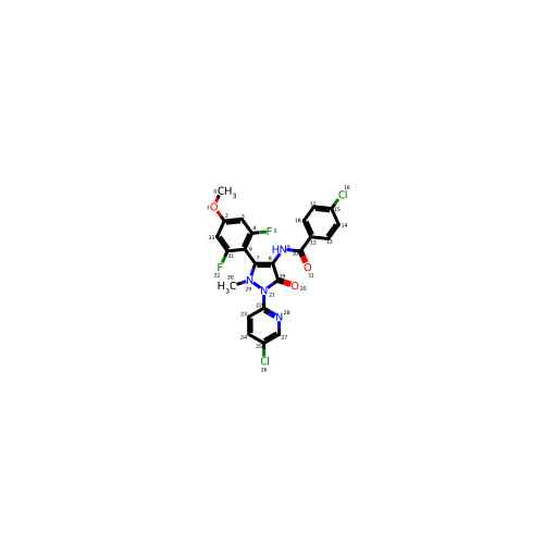 COc1cc(F)c(-c2c(NC(=O)c3ccc(Cl)cc3)c(=O)n(-c3ccc(Cl)cn3)n2C)c(F)c1